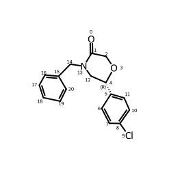 O=C1CO[C@H](c2ccc(Cl)cc2)CN1Cc1ccccc1